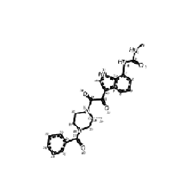 CNC(=O)Nc1cccc2c(C(=O)C(=O)N3CCN(C(=O)c4ccccc4)C[C@H]3C)c[nH]c12